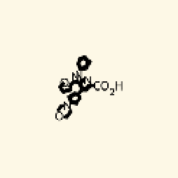 O=C(O)c1cc(-c2ccc(N3CCOCC3)cc2)c2c(C3CCCO3)nn(-c3ccccc3)c2n1